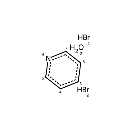 Br.Br.O.c1ccncc1